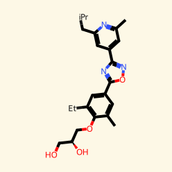 CCc1cc(-c2nc(-c3cc(C)nc(CC(C)C)c3)no2)cc(C)c1OC[C@@H](O)CO